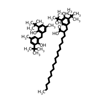 CCCCCCCCCCCCCCCCCCC(Cc1cc(C(C)(C)C)c(O)c(C(C)(C)C)c1)C(=O)O.Cc1cc(Cc2cc(C)cc(C(C)(C)C)c2O)c(O)c(C(C)(C)C)c1